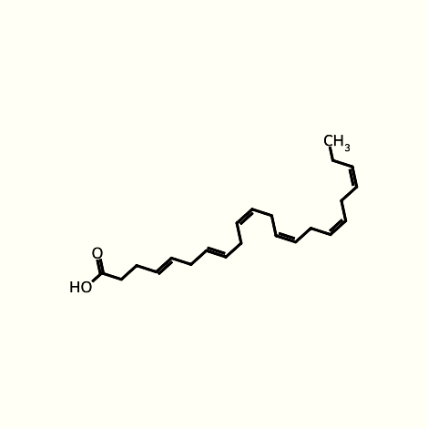 CC/C=C\C/C=C\C/C=C\C/C=C\C/C=C/C/C=C/CCC(=O)O